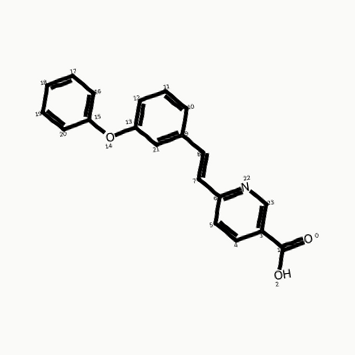 O=C(O)c1ccc(/C=C/c2cccc(Oc3ccccc3)c2)nc1